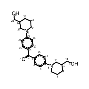 O=C(c1ccc(N2CCCC(CO)C2)cc1)c1ccc(N2CCCC(CO)C2)cc1